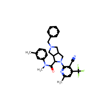 Cc1cccc(N(C)C(=O)C2C3CN(Cc4ccccc4)CC3CN2c2nc(C)cc(C(F)(F)F)c2C#N)c1